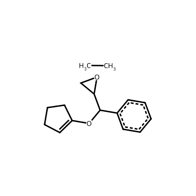 C1=C(OC(c2ccccc2)C2CO2)CCC1.CC